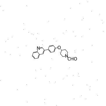 O=CN1CCC(Oc2ccc(-c3cnc4ccccc4c3)cc2)CC1